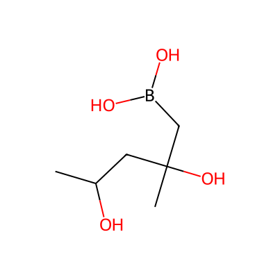 CC(O)CC(C)(O)CB(O)O